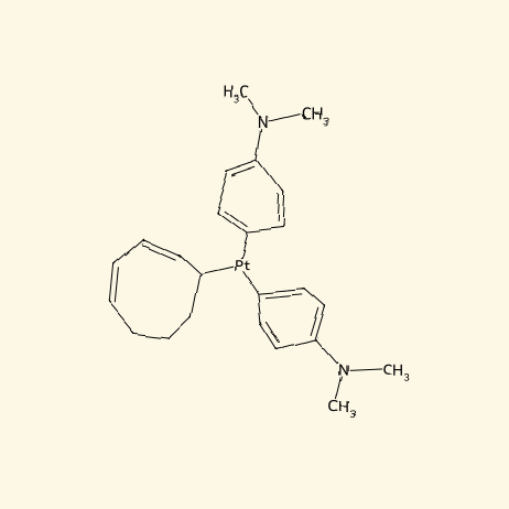 CN(C)c1cc[c]([Pt]([c]2ccc(N(C)C)cc2)[CH]2C=CC=CCCC2)cc1